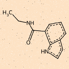 CCNC(=O)c1cccc2[c]c[nH]c12